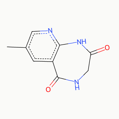 Cc1cnc2c(c1)C(=O)NCC(=O)N2